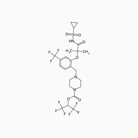 CC(C)(Oc1cc(C(F)(F)F)ccc1CN1CCN(C(=O)OC(C(F)(F)F)C(F)(F)F)CC1)C(=O)NS(=O)(=O)C1CC1